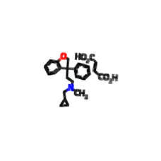 CN(CCC1(c2ccccc2)COc2ccccc21)CC1CC1.O=C(O)/C=C/C(=O)O